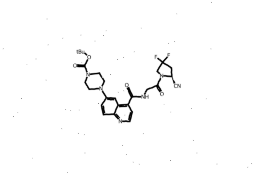 CC(C)(C)OC(=O)N1CCN(c2ccc3nccc(C(=O)NCC(=O)N4CC(F)(F)C[C@H]4C#N)c3c2)CC1